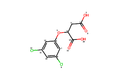 O=C(O)CC(Oc1cc(Cl)cc(Cl)c1)C(=O)O